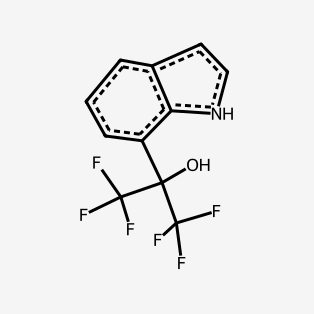 OC(c1cccc2cc[nH]c12)(C(F)(F)F)C(F)(F)F